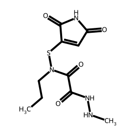 CCCN(SC1=CC(=O)NC1=O)C(=O)C(=O)NNC